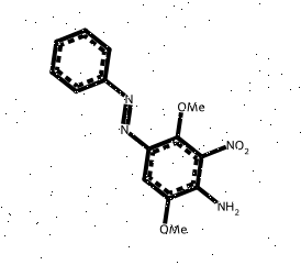 COc1cc(N=Nc2ccccc2)c(OC)c([N+](=O)[O-])c1N